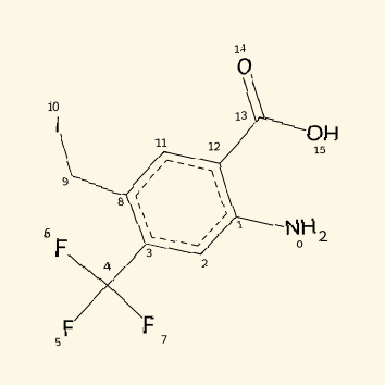 Nc1cc(C(F)(F)F)c(CI)cc1C(=O)O